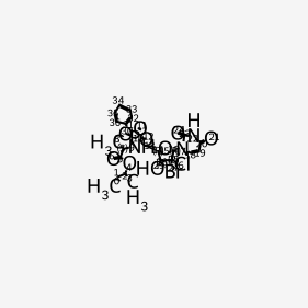 CCC(C)OC(=O)[C@H](C)NP(=O)(OC[C@H]1O[C@@H](n2ccc(=O)[nH]c2=O)[C@](Cl)(Br)[C@@H]1O)Oc1ccccc1